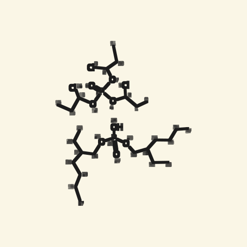 CCC(Cl)OP(=O)(OC(Cl)CC)OC(Cl)CC.CCCCC(CC)COP(=O)(O)OCC(CC)CCCC